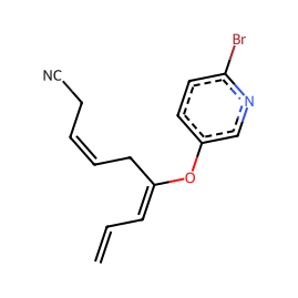 C=C/C=C(\C/C=C\CC#N)Oc1ccc(Br)nc1